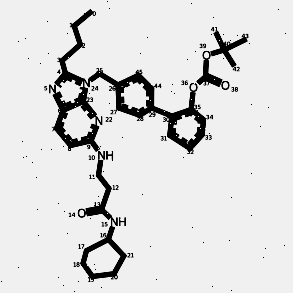 CCCCc1nc2ccc(NCCC(=O)NC3CCCCC3)nc2n1Cc1ccc(-c2ccccc2OC(=O)OC(C)(C)C)cc1